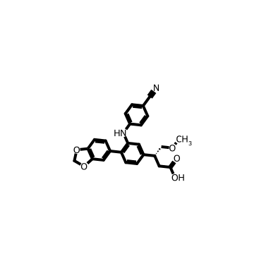 COC[C@H](CC(=O)O)c1ccc(-c2ccc3c(c2)OCO3)c(Nc2ccc(C#N)cc2)c1